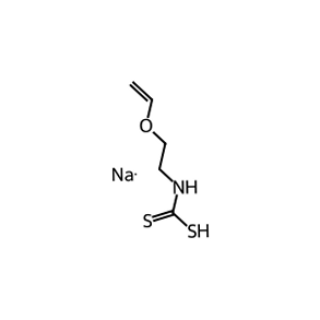 C=COCCNC(=S)S.[Na]